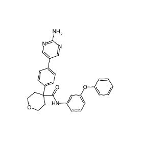 Nc1ncc(-c2ccc(C3(C(=O)Nc4cccc(Oc5ccccc5)c4)CCOCC3)cc2)cn1